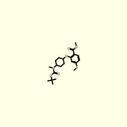 COC(=O)c1ccc(SC)cc1OC1CCC(N(C)C(=O)OC(C)(C)C)CC1